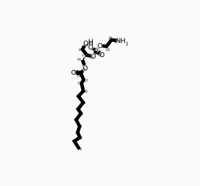 CCCCCCCCCCCCCC(=O)OC[C@H](CO)OP(=O)(O)OCCN